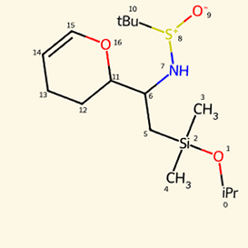 CC(C)O[Si](C)(C)CC(N[S+]([O-])C(C)(C)C)C1CCC=CO1